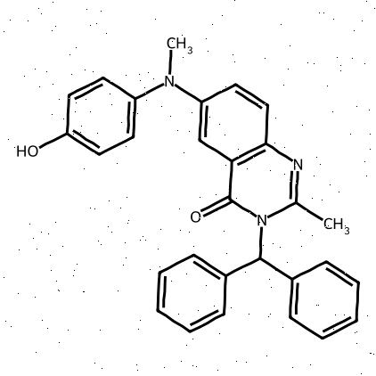 Cc1nc2ccc(N(C)c3ccc(O)cc3)cc2c(=O)n1C(c1ccccc1)c1ccccc1